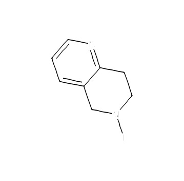 IN1CCc2ncccc2C1